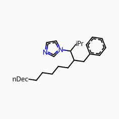 CCCCCCCCCCCCCCCC(Cc1ccccc1)C(C(C)C)n1ccnc1